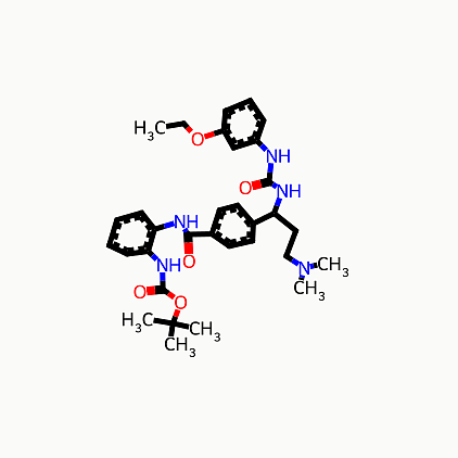 CCOc1cccc(NC(=O)NC(CCN(C)C)c2ccc(C(=O)Nc3ccccc3NC(=O)OC(C)(C)C)cc2)c1